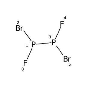 FP(Br)P(F)Br